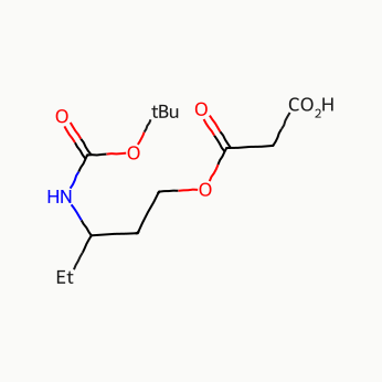 CCC(CCOC(=O)CC(=O)O)NC(=O)OC(C)(C)C